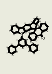 O=C1c2ccccc2C2(c3ccccc31)c1ccccc1-c1cc3c4ccccc4n(-c4cc(-c5ccccc5)cc(-c5ccccc5)c4)c3cc12